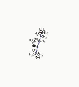 CC1=CC[C@@H](C(C)(C)O)CC1.CC1=C[C@H](O)CC(C)(C)[C@H]1/C=C/C(C)=C/C=C/C(C)=C/C=C/C=C(C)/C=C/C=C(C)/C=C/C1=C(C)C[C@@H](O)CC1(C)C